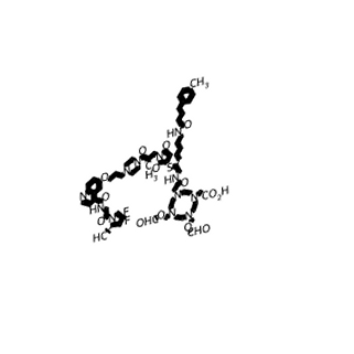 C#C[C@H]1CC(F)(F)CN1C(=O)CNC(=O)c1ccnc2ccc(OCCCN3CCN(C(=O)[C@H](C)CN4C(=O)CC(S[C@H](CCCCCNC(=O)CCCc5ccc(C)cc5)CNC(=O)CN5CCN(COC=O)CCN(COC=O)CCN(CC(=O)O)CC5)C4=O)CC3)cc12